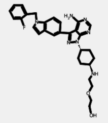 Nc1ncnc2c1c(-c1ccc3c(ccn3Cc3ccccc3F)c1)nn2[C@H]1CC[C@H](NCCOCCO)CC1